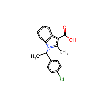 Cc1c(C(=O)O)c2ccccc2n1C(C)c1ccc(Cl)cc1